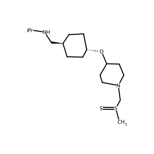 CC(C)NC[C@H]1CC[C@H](OC2CCN(CS(C)=S)CC2)CC1